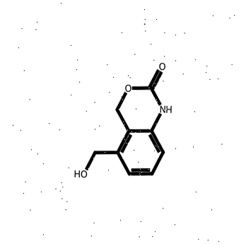 O=C1Nc2cccc(CO)c2CO1